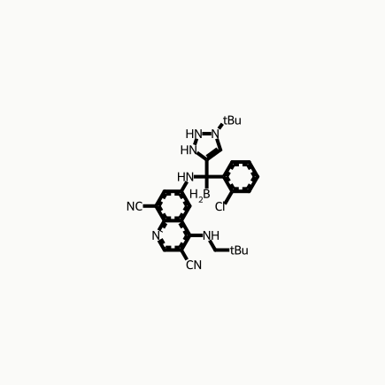 BC(Nc1cc(C#N)c2ncc(C#N)c(NCC(C)(C)C)c2c1)(C1=CN(C(C)(C)C)NN1)c1ccccc1Cl